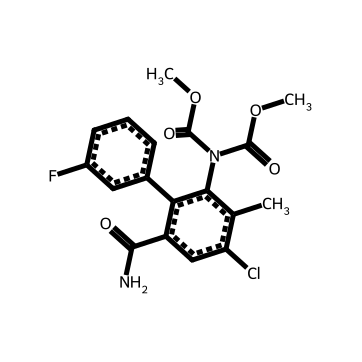 COC(=O)N(C(=O)OC)c1c(C)c(Cl)cc(C(N)=O)c1-c1cccc(F)c1